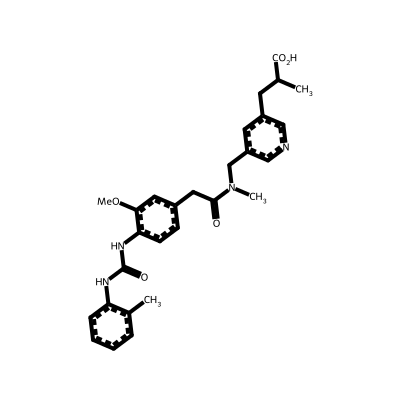 COc1cc(CC(=O)N(C)Cc2cncc(CC(C)C(=O)O)c2)ccc1NC(=O)Nc1ccccc1C